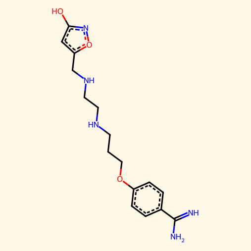 N=C(N)c1ccc(OCCCNCCNCc2cc(O)no2)cc1